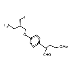 COCCN(C=O)c1ccc(OC/C(=C\F)CN)cc1